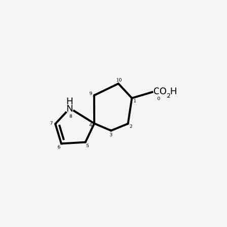 O=C(O)C1CCC2(CC=CN2)CC1